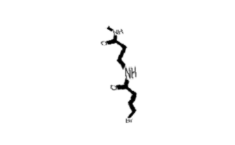 [CH2]NC(=O)CCNC(=O)/C=C/CBr